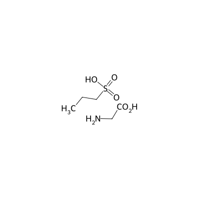 CCCS(=O)(=O)O.NCC(=O)O